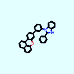 c1ccc(C2Nc3ccccc3N2c2cccc(-c3ccc4c(c3)Oc3cccc5cccc-4c35)c2)cc1